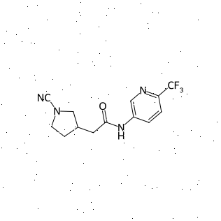 N#CN1CCC(CC(=O)Nc2ccc(C(F)(F)F)nc2)C1